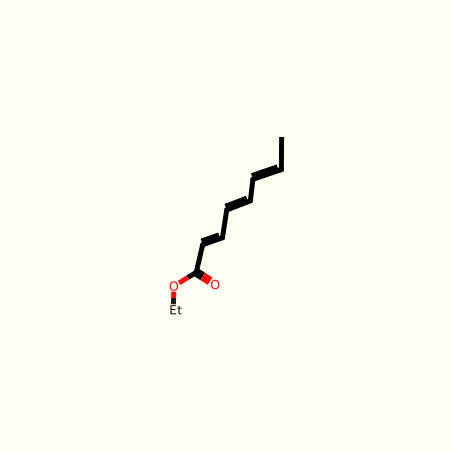 CC=CC=CC=CC(=O)OCC